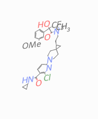 COc1cccc(C(O)(C(=O)N(C)CC[C@H]2CC23CCN(c2ccc(C(=O)NC4CC4)c(Cl)n2)CC3)C(F)(F)F)c1